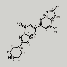 Cc1cn2cc(-c3cc(=O)n4nc(N5CCNCC5)sc4n3)cc(F)c2n1